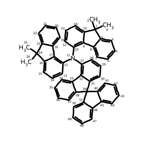 CC1(C)c2ccccc2-c2c(N(c3cccc4c3-c3ccccc3C4(C)C)c3cccc4c3-c3ccccc3C43c4ccccc4-c4ccccc43)cccc21